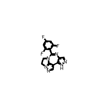 Fc1cc(F)c(C2=Nc3cn[nH]c3-c3cnn4c3N2CC4)c(F)c1